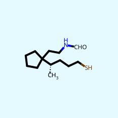 C[C@@H](CCCS)C1(CCNC=O)CCCC1